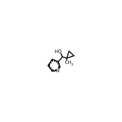 CC1(C(O)c2cccnc2)CC1